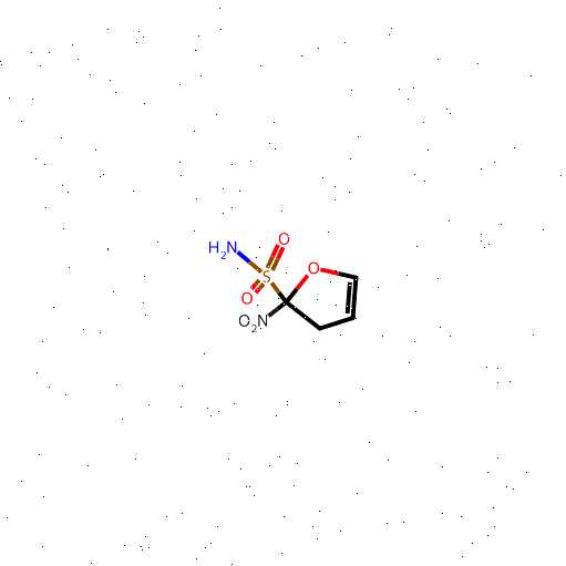 NS(=O)(=O)C1([N+](=O)[O-])CC=CO1